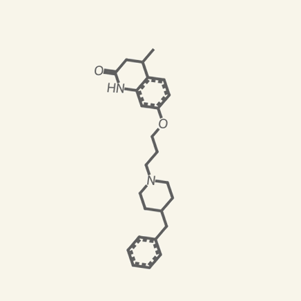 CC1CC(=O)Nc2cc(OCCCN3CCC(Cc4ccccc4)CC3)ccc21